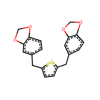 c1cc2c(cc1Cc1ccc(Cc3ccc4c(c3)OCO4)s1)OCO2